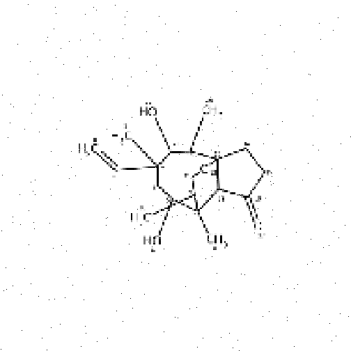 C=CC1(C)CC(O)C2(C)C(C)CCC3(CCC(=O)C32)C(C)C1O